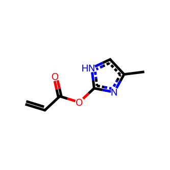 C=CC(=O)Oc1nc(C)c[nH]1